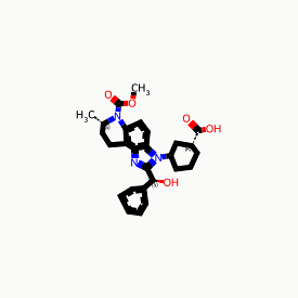 COC(=O)N1c2ccc3c(nc([C@@H](O)c4ccccc4)n3C3CCC[C@@H](C(=O)O)C3)c2CC[C@@H]1C